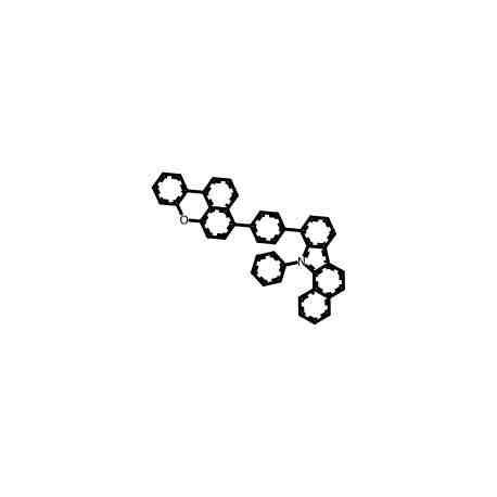 c1ccc(-n2c3c(-c4ccc(-c5ccc6c7c(cccc57)-c5ccccc5O6)cc4)cccc3c3ccc4ccccc4c32)cc1